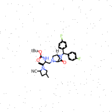 C=C(C(CN1C[C@@H]2CC1C(=O)N2C(c1ccc(F)cc1)c1ccc(F)cc1)NC(=O)OC(C)(C)C)N1CC(C)CC1C#N